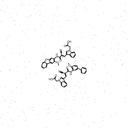 COc1cc2c(cc1NC(=O)/C(C#N)=C/c1cn(CC(=O)O)c3ccccc13)oc1ccccc12.COc1ccc(-c2ccccc2)cc1NC(=O)/C(C#N)=C/c1cn(CC(=O)O)c2ccccc12